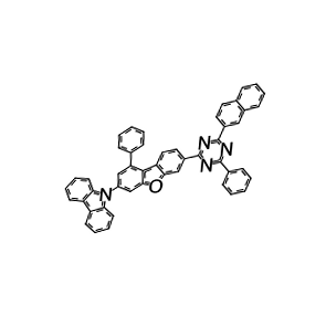 c1ccc(-c2nc(-c3ccc4ccccc4c3)nc(-c3ccc4c(c3)oc3cc(-n5c6ccccc6c6ccccc65)cc(-c5ccccc5)c34)n2)cc1